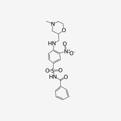 CN1CCOC(CNc2ccc(S(=O)(=O)NC(=O)c3ccccc3)cc2[N+](=O)[O-])C1